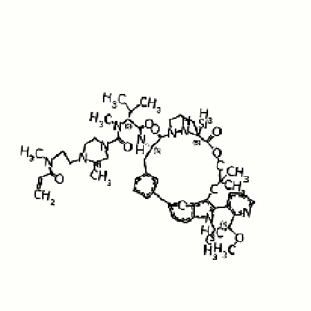 C=CC(=O)N(C)CCN1CCN(C(=O)N(C)[C@H](C(=O)N[C@H]2Cc3cccc(c3)-c3ccc4c(c3)c(c(-c3cccnc3[C@H](C)OC)n4CC)CC(C)(C)COC(=O)[C@@]3([SiH3])CCCN(N3)C2=O)C(C)C)C[C@H]1C